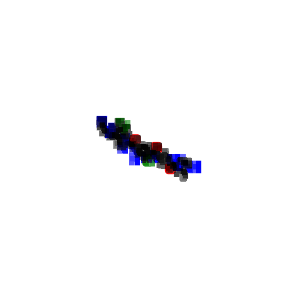 CC1CN(C(=O)N[C@H]2C[C@@H](NC(=O)c3ccc(NC(=O)c4ncc(-c5cn(CC#N)nc5C(F)(F)F)n4C)cc3Cl)C2)CCN1